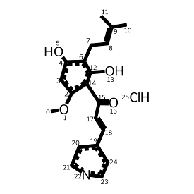 COc1cc(O)c(CC=C(C)C)c(O)c1C(=O)C=Cc1ccncc1.Cl